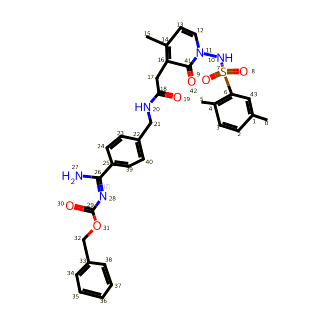 Cc1ccc(C)c(S(=O)(=O)Nn2ccc(C)c(CC(=O)NCc3ccc(/C(N)=N/C(=O)OCc4ccccc4)cc3)c2=O)c1